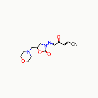 N#C/C=C/C(=O)/C=N/N1CC(CN2CCOCC2)OC1=O